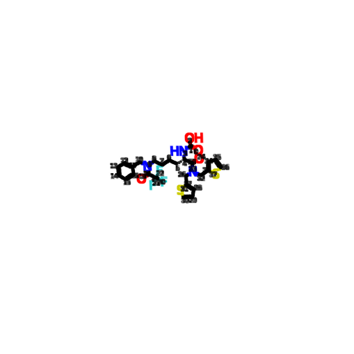 O=C(O)N[C@@H](CCCCN(Cc1ccccc1)C(=O)C(F)(F)F)C(=O)N(Cc1cccs1)Cc1cccs1